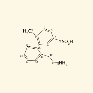 Cc1ccc(S(=O)(=O)O)cc1.NCCc1ccccc1